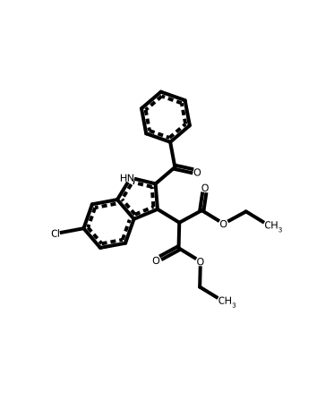 CCOC(=O)C(C(=O)OCC)c1c(C(=O)c2ccccc2)[nH]c2cc(Cl)ccc12